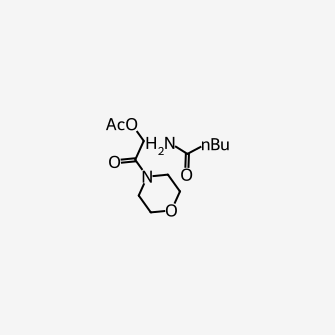 CC(=O)OCC(=O)N1CCOCC1.CCCCC(N)=O